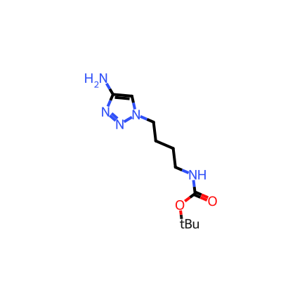 CC(C)(C)OC(=O)NCCCCn1cc(N)nn1